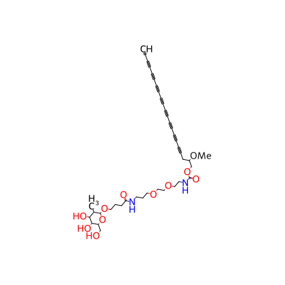 C#CC#CC#CC#CC#CC#CC#CC#CC#CCC(COC(=O)NCCOCCOCCCNC(=O)CCCOC1OC(CO)C(O)C(O)C1C)OC